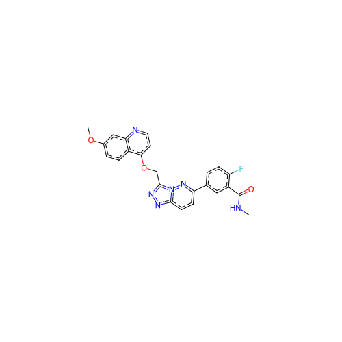 CNC(=O)c1cc(-c2ccc3nnc(COc4ccnc5cc(OC)ccc45)n3n2)ccc1F